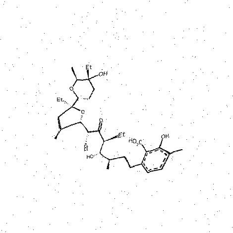 CC[C@H](C(=O)[C@H](CC)[C@H]1O[C@](CC)([C@H]2CC[C@](O)(CC)[C@H](C)O2)C[C@@H]1C)[C@@H](O)[C@H](C)CCc1ccc(C)c(O)c1C(=O)O